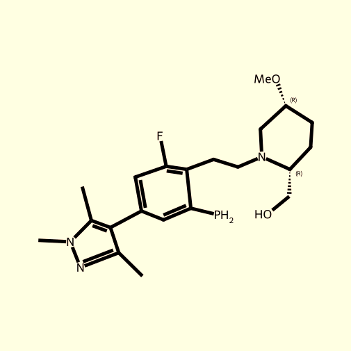 CO[C@@H]1CC[C@H](CO)N(CCc2c(F)cc(-c3c(C)nn(C)c3C)cc2P)C1